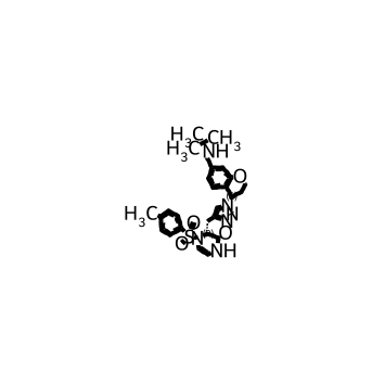 Cc1ccc(S(=O)(=O)N2C=CNC(=O)[C@H]2Cc2cn([C@@H]3CCOc4cc(CNC(C)(C)C)ccc43)nn2)cc1